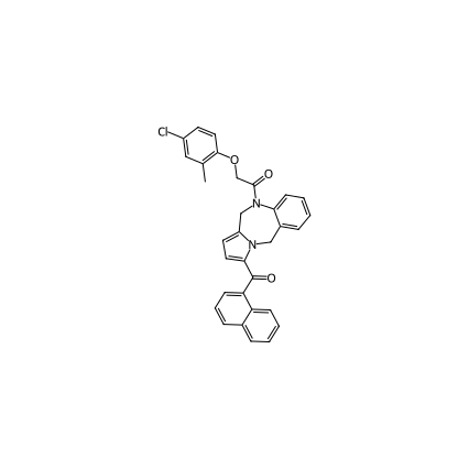 Cc1cc(Cl)ccc1OCC(=O)N1Cc2ccc(C(=O)c3cccc4ccccc34)n2Cc2ccccc21